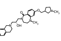 CN1CCC(COc2ccc3c(c2)N(C)CCN(C[C@H](O)CN2CCc4ccccc4C2)C3=O)C1